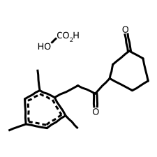 Cc1cc(C)c(CC(=O)C2CCCC(=O)C2)c(C)c1.O=C(O)O